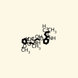 CCOc1cccc(C)c1OCC(C)NC(C)C(O)COc1cccc2[nH]c3cc(C)c(C)cc3c12